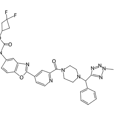 Cn1nnc(C(c2ccccc2)N2CCN(C(=O)c3cc(-c4nc5cc(NC(=O)OC6CC(F)(F)C6)ccc5o4)ccn3)CC2)n1